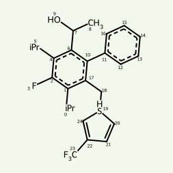 CC(C)c1c(F)c(C(C)C)c(C(C)O)c(-c2ccccc2)c1C[SH]1C=CC(C(F)(F)F)=C1